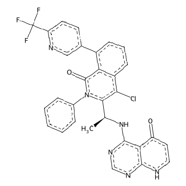 C[C@H](Nc1ncnc2[nH]ccc(=O)c12)c1c(Cl)c2cccc(-c3ccc(C(F)(F)F)nc3)c2c(=O)n1-c1ccccc1